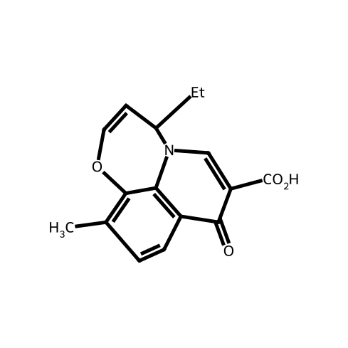 CCC1C=COc2c(C)ccc3c(=O)c(C(=O)O)cn1c23